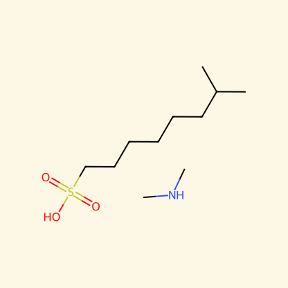 CC(C)CCCCCCS(=O)(=O)O.CNC